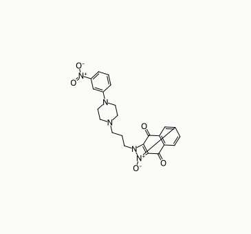 O=C1C2=C3C(=O)c4ccc(cc41)[N+]3([O-])N2CCCN1CCN(c2cccc([N+](=O)[O-])c2)CC1